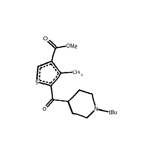 COC(=O)c1csc(C(=O)C2CCN(C(C)(C)C)CC2)c1C